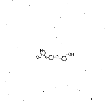 O=Cc1cnccc1Sc1ccc(OCc2cccc(CO)c2)cc1